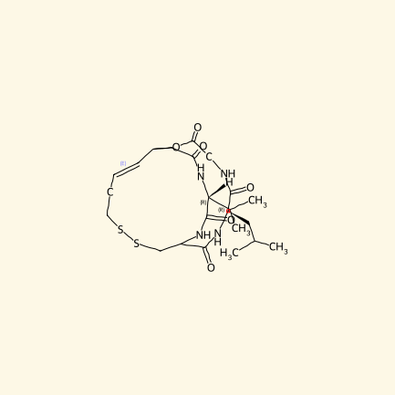 CC(C)C[C@H]1NC(=O)C2CSSCC/C=C/C(CC(=O)N[C@H](C(C)C)C(=O)N2)OC(=O)CNC1=O